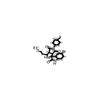 CCSCCC1NC2(C(=O)Nc3ccc(Br)cc32)C2C(=O)N(c3ccc(C)cc3)C(=O)C12